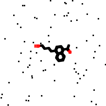 CC(=O)c1ccc(CCCCO)c2ccccc12